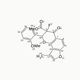 COC(=O)C1(F)C(=O)c2ccc3occ(C)c3c2OC1c1ccccc1OC